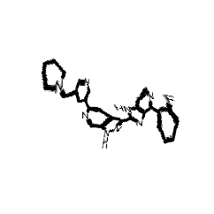 Fc1ccccc1-c1nccc2[nH]c(-c3n[nH]c4cnc(-c5cncc(CN6CCCCC6)c5)cc34)nc12